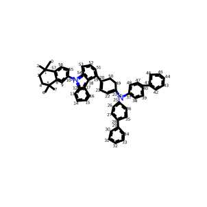 CC1(C)CCC(C)(C)c2cc(-n3c4ccccc4c4c(C5=CC=C(N(c6ccc(-c7ccccc7)cc6)c6ccc(-c7ccccc7)cc6)CC5)cccc43)ccc21